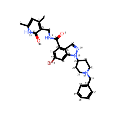 Cc1cc(C)c(CNC(=O)c2cc(Br)cc3c2cnn3C2CCN(Cc3ccccc3)CC2)c(=O)[nH]1